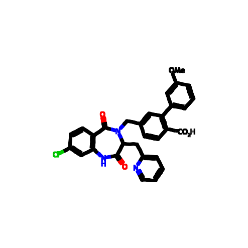 COc1cccc(-c2cc(CN3C(=O)c4ccc(Cl)cc4NC(=O)C3Cc3ccccn3)ccc2C(=O)O)c1